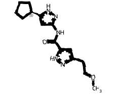 COCCc1cc(C(=O)Nc2cc([C@H]3C[CH]CC3)[nH]n2)[nH]n1